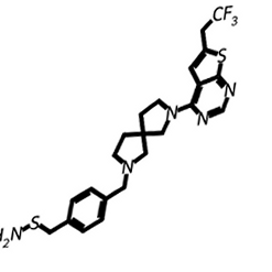 NSCc1ccc(CN2CCC3(CCN(c4ncnc5sc(CC(F)(F)F)cc45)C3)C2)cc1